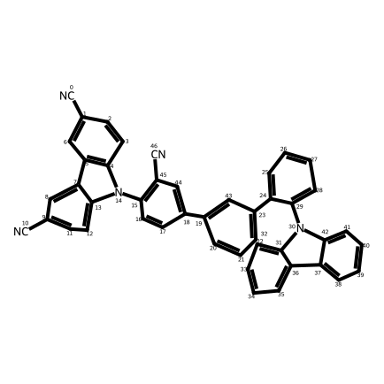 N#Cc1ccc2c(c1)c1cc(C#N)ccc1n2-c1ccc(-c2cccc(-c3ccccc3-n3c4ccccc4c4ccccc43)c2)cc1C#N